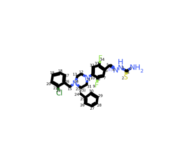 NC(=S)N/N=C/c1cc(F)c(N2CCN(Cc3ccccc3Cl)[C@@H](Cc3ccccc3)C2)cc1F